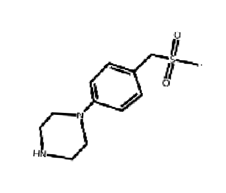 [CH2]S(=O)(=O)Cc1ccc(N2CCNCC2)cc1